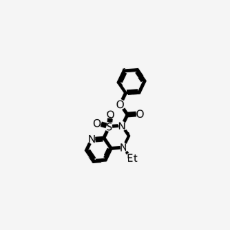 CCN1CN(C(=O)Oc2ccccc2)S(=O)(=O)c2ncccc21